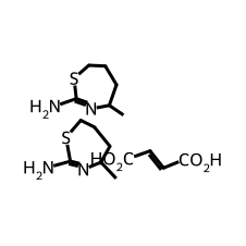 CC1CCCSC(N)=N1.CC1CCCSC(N)=N1.O=C(O)/C=C/C(=O)O